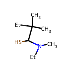 CCN(C)C(S)C(C)(C)CC